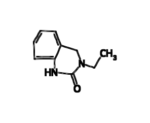 CCN1Cc2ccccc2NC1=O